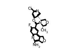 C[C@H]1COC[C@@H](c2ccc(Cl)nc2)N1C(=O)c1cc2c3c(c(N)nc2cc1F)COC3